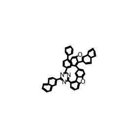 C1=CC2C=Cc3c(oc4cccc(-c5ccc6oc7cccc(-c8nc(-c9ccc(-c%10ccccc%10)cc9)nc(-c9ccc%10ccccc%10c9)n8)c7c6c5)c34)C2C=C1